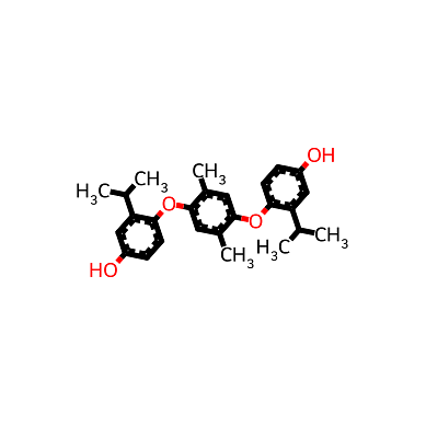 Cc1cc(Oc2ccc(O)cc2C(C)C)c(C)cc1Oc1ccc(O)cc1C(C)C